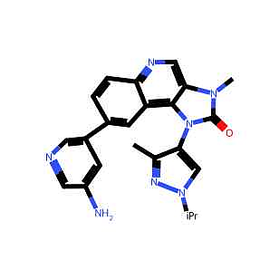 Cc1nn(C(C)C)cc1-n1c(=O)n(C)c2cnc3ccc(-c4cncc(N)c4)cc3c21